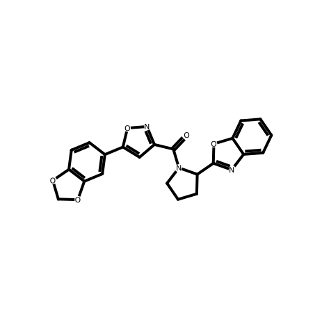 O=C(c1cc(-c2ccc3c(c2)OCO3)on1)N1CCCC1c1nc2ccccc2o1